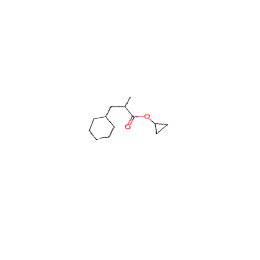 CC(CC1CCCCC1)C(=O)OC1CC1